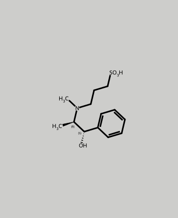 C[C@H]([C@@H](O)c1ccccc1)N(C)CCCS(=O)(=O)O